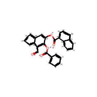 O=[C]c1c(OC(=O)c2ccccc2)c(OC(=O)c2cccc3ccccc23)cc2ccccc12